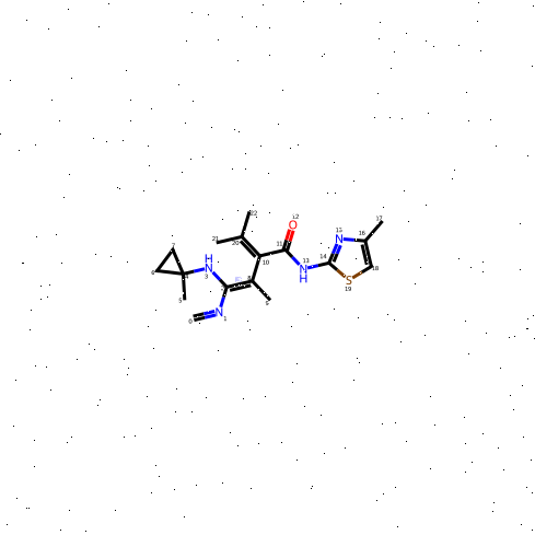 C=N/C(NC1(C)CC1)=C(\C)C(C(=O)Nc1nc(C)cs1)=C(C)C